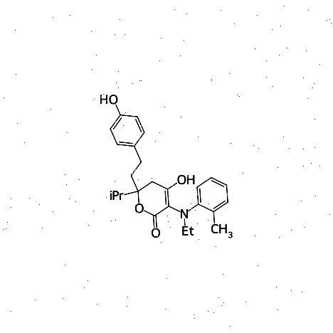 CCN(C1=C(O)CC(CCc2ccc(O)cc2)(C(C)C)OC1=O)c1ccccc1C